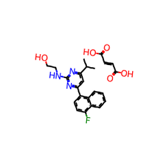 CC(C)c1cc(-c2ccc(F)c3ccccc23)nc(NCCO)n1.O=C(O)C=CC(=O)O